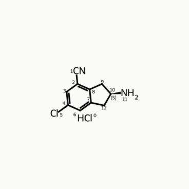 Cl.N#Cc1cc(Cl)cc2c1C[C@@H](N)C2